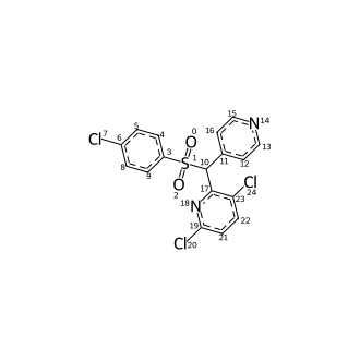 O=S(=O)(c1ccc(Cl)cc1)C(c1ccncc1)c1nc(Cl)ccc1Cl